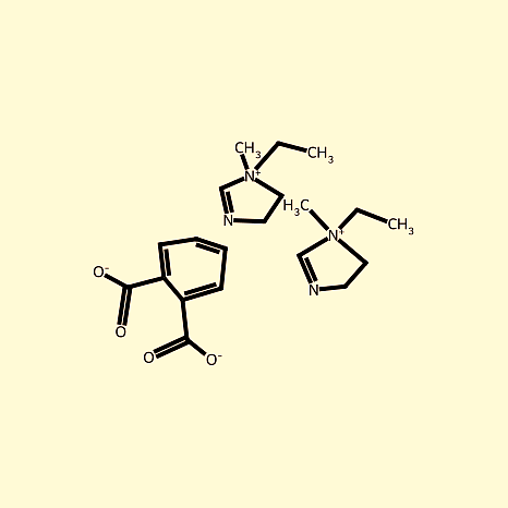 CC[N+]1(C)C=NCC1.CC[N+]1(C)C=NCC1.O=C([O-])c1ccccc1C(=O)[O-]